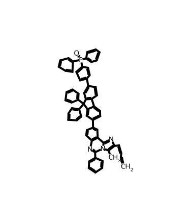 C=C/C=C\c1nc2c3cc(-c4ccc5c(c4)C(c4ccccc4)(c4ccccc4)c4cc(-c6ccc(P(=O)(c7ccccc7)c7ccccc7)cc6)ccc4-5)ccc3nc(-c3ccccc3)n2c1C